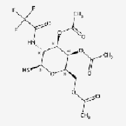 CC(=O)OC[C@H]1O[C@@H](S)[C@H](NC(=O)C(F)(F)F)[C@@H](OC(C)=O)[C@H]1OC(C)=O